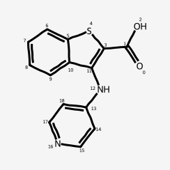 O=C(O)c1sc2ccccc2c1Nc1ccncc1